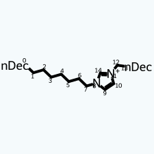 CCCCCCCCCCCCCCCCCn1cc[n+](CCCCCCCCCCC)c1